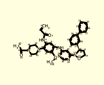 C=CC(=O)Nc1cc(Nc2cc(N3OCC[C@@H]3c3cccc(-c4ccccc4)c3)ncn2)c(OC)cc1N1CCN(C(C)=O)CC1